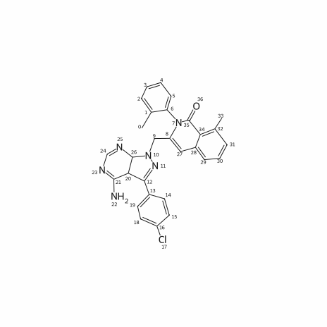 Cc1ccccc1-n1c(CN2N=C(c3ccc(Cl)cc3)C3C(N)=NC=NC32)cc2cccc(C)c2c1=O